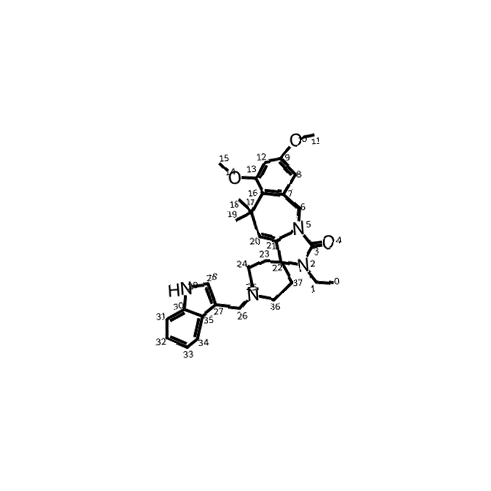 CCN1C(=O)N2Cc3cc(OC)cc(OC)c3C(C)(C)C=C2C12CCN(Cc1c[nH]c3ccccc13)CC2